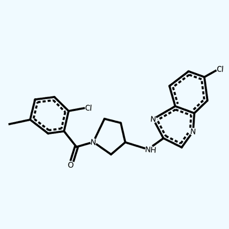 Cc1ccc(Cl)c(C(=O)N2CCC(Nc3cnc4cc(Cl)ccc4n3)C2)c1